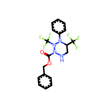 O=C(OCc1ccccc1)N1NCC(C(F)(F)F)N(c2ccccc2)N1C(F)(F)F